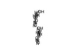 CC[C@@]1(O)CC[C@H]2[C@H](CC[C@@H]3[C@@H]2CC[C@]2(C)[C@@H](C(=O)Cn4cc5ncc(CC[C@@]6(O)CC[C@H]7[C@H](CC[C@@H]8[C@@H]7CC[C@]7(C)[C@@H](C(=O)Cn9ncc%10ncccc%109)CC[C@@H]87)C6)cc5n4)CC[C@@H]32)C1